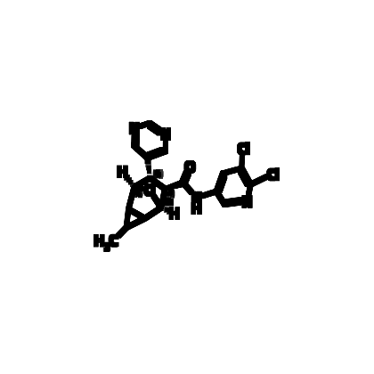 CC1C2C1[C@@H]1O[C@H]2[C@H](C(=O)Nc2cnc(Cl)c(Cl)c2)[C@H]1c1cncnc1